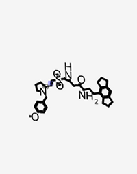 COc1ccc(CN2CCC[C@H]2/C=C/S(=O)(=O)C2NC2CC(=O)C(N)CCc2c3c(cc4c2CCC4)CCC3)cc1